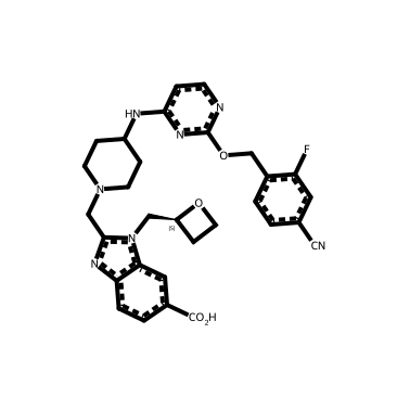 N#Cc1ccc(COc2nccc(NC3CCN(Cc4nc5ccc(C(=O)O)cc5n4C[C@@H]4CCO4)CC3)n2)c(F)c1